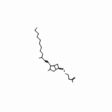 CCCCCCCCCC(O)C#CC1C(O)CC2C(=NOCCC(=O)O)CC21